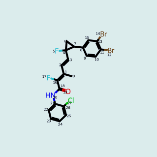 CC(/C=C/C1(F)CC1c1ccc(Br)c(Br)c1)=C(/F)C(=O)Nc1ccccc1Cl